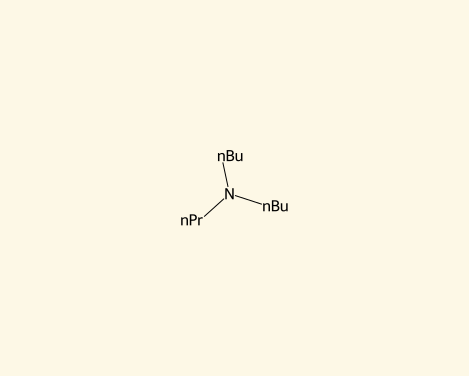 [CH2]CCCN(CCC)CCCC